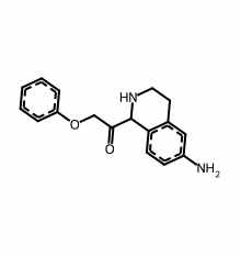 Nc1ccc2c(c1)CCNC2C(=O)COc1ccccc1